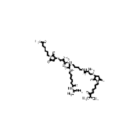 CC(=O)CCCCCN1C(=O)CC(SCC(N)C(=O)N[C@@H](CCCCNC(=O)[C@@H](N)CSC2CC(=O)N(CCCCCC(=O)C(C)C)C2=O)C(=O)NCCCCCC(=O)NC(C)N)C1=O